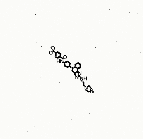 COC(=O)c1ccc(C(=O)Nc2ccc(C3Cc4cnc(NCCCN5CCN(C)CC5)nc4-c4ccccc43)cc2)cc1